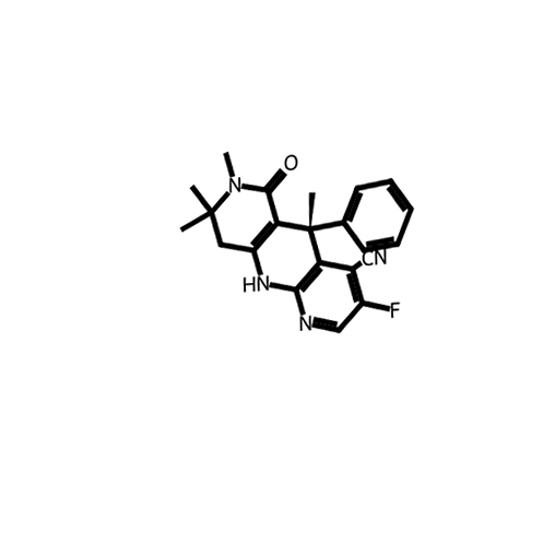 CN1C(=O)C2=C(CC1(C)C)Nc1ncc(F)c(C#N)c1[C@@]2(C)c1ccccc1